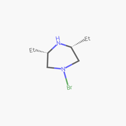 CC[C@@H]1CN(Br)C[C@H](CC)N1